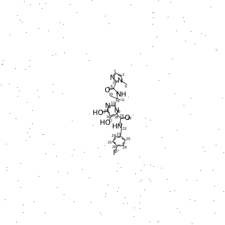 Cn1ccnc1C(=O)NC(C)(C)c1nc(O)c(O)c(C(=O)NCc2ccc(F)cc2)n1